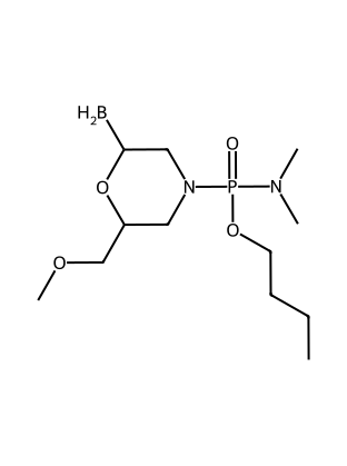 BC1CN(P(=O)(OCCCC)N(C)C)CC(COC)O1